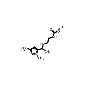 COC(=O)NCCNC(C)c1cc(C)nn1C